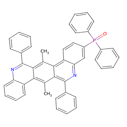 Cc1c2c(-c3ccccc3)nc3cc(P(=O)(c4ccccc4)c4ccccc4)ccc3c2c(C)c2c(-c3ccccc3)nc3ccccc3c12